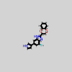 Fc1cc(-c2cc[nH]c2)cc2[nH]c(C3COc4ccccc4O3)nc12